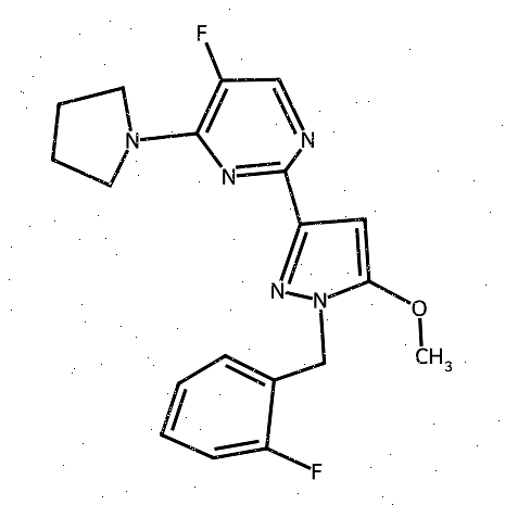 COc1cc(-c2ncc(F)c(N3CCCC3)n2)nn1Cc1ccccc1F